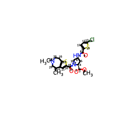 COC(=O)[C@@H]1C[C@@H](NC(=O)c2ccc(Cl)s2)CN1C(=O)c1cc2c(s1)CCN(C)CC2C